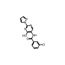 O=C(Nc1cnc(-n2cccn2)nc1O)c1cccc(Cl)c1